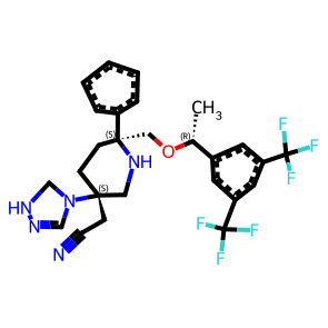 C[C@@H](OC[C@@]1(c2ccccc2)CC[C@@](CC#N)(N2C=NNC2)CN1)c1cc(C(F)(F)F)cc(C(F)(F)F)c1